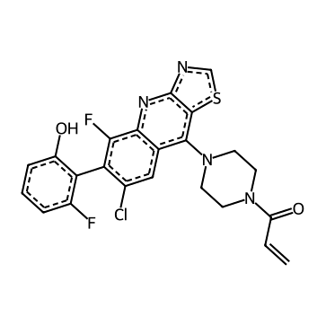 C=CC(=O)N1CCN(c2c3cc(Cl)c(-c4c(O)cccc4F)c(F)c3nc3ncsc23)CC1